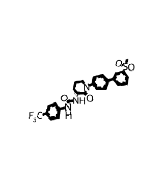 CS(=O)(=O)c1cccc(-c2ccc(N3CCC[C@@H](NC(=O)Nc4ccc(C(F)(F)F)cc4)C3=O)cc2)c1